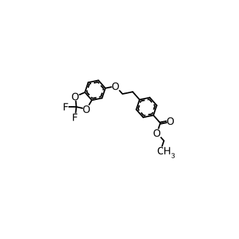 CCOC(=O)c1ccc(CCOc2ccc3c(c2)OC(F)(F)O3)cc1